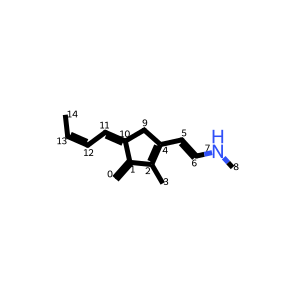 C=C1C(C)=C(/C=C/NC)C/C1=C/C=C\C